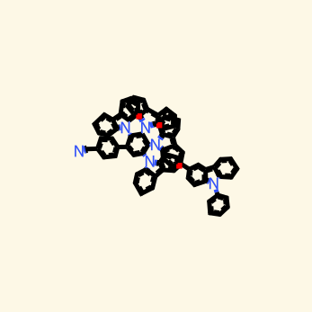 N#Cc1ccc(-c2cc(-n3c4ccccc4c4ccccc43)c(-n3c4ccccc4c4cc(-c5ccc6c(c5)c5ccccc5n6-c5ccccc5)ccc43)c(-n3c4ccccc4c4ccccc43)c2-n2c3ccccc3c3ccccc32)cc1